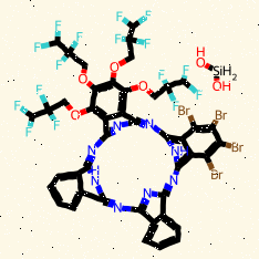 FC(F)C(F)(F)COc1c(OCC(F)(F)C(F)F)c(OCC(F)(F)C(F)F)c2c(c1OCC(F)(F)C(F)F)-c1nc-2nc2[nH]c(nc3nc(nc4[nH]c(n1)c1ccccc41)-c1ccccc1-3)c1c(Br)c(Br)c(Br)c(Br)c21.O[SiH2]O